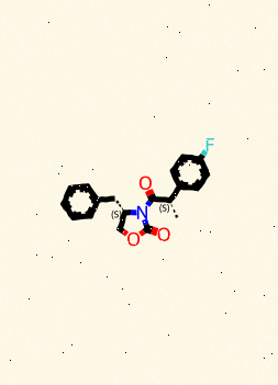 C[C@H](C(=O)N1C(=O)OC[C@@H]1Cc1ccccc1)c1ccc(F)cc1